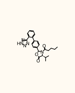 CCCCC(=O)N1C(c2ccc(-c3ccccc3-c3nn[nH]n3)cc2)OC(=O)[C@@H]1C(C)C